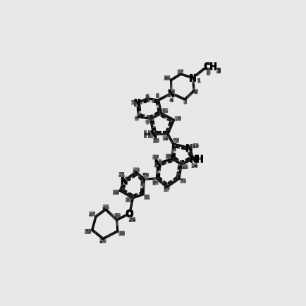 CN1CCN(c2cncc3[nH]c(-c4n[nH]c5ccc(-c6cncc(OC7CCCCC7)c6)nc45)cc23)CC1